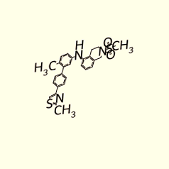 Cc1nc(-c2ccc(-c3cc(Nc4cccc5c4CCN(S(C)(=O)=O)C5)ccc3C)cc2)cs1